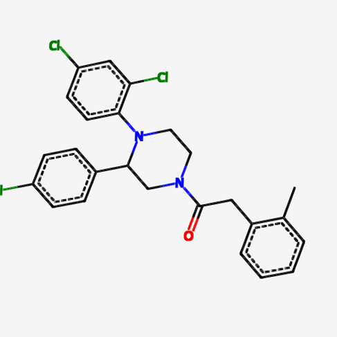 Cc1ccccc1CC(=O)N1CCN(c2ccc(Cl)cc2Cl)C(c2ccc(Cl)cc2)C1